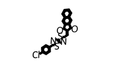 O=C1C(=Cc2nc3sc(-c4ccc(Cl)cc4)nc3s2)C(=O)c2cc3ccccc3cc21